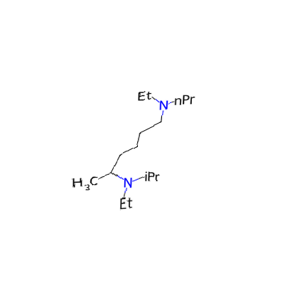 CCCN(CC)CCCCC(C)N(CC)C(C)C